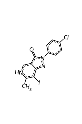 Cc1[nH]cc2c(=O)n(-c3ccc(Cl)cc3)nc-2c1I